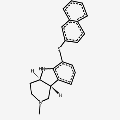 CN1CC[C@H]2Nc3c(Sc4ccc5ccccc5c4)cccc3[C@@H]2C1